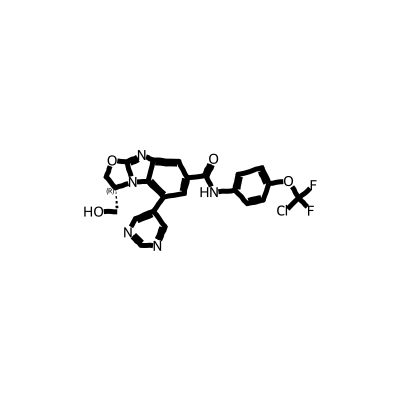 O=C(Nc1ccc(OC(F)(F)Cl)cc1)c1cc(-c2cncnc2)c2c(c1)nc1n2[C@H](CO)CO1